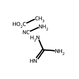 CC(=O)O.N#CN.N=C(N)N